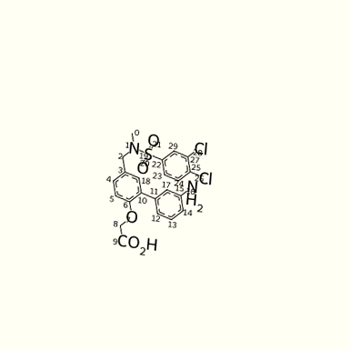 CN(Cc1ccc(OCC(=O)O)c(-c2cccc(N)c2)c1)S(=O)(=O)c1ccc(Cl)c(Cl)c1